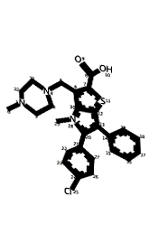 CN1CCN(Cc2c(C(=O)O)sc3c(-c4ccccc4)c(-c4ccc(Cl)cc4)n(C)c23)CC1